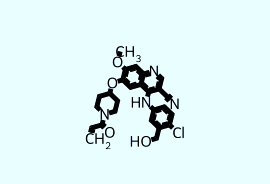 C=CC(=O)N1CCC(Oc2cc3c(Nc4ccc(Cl)c(CO)c4)c(C#N)cnc3cc2OC)CC1